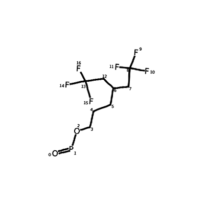 O=POCCCC(CC(F)(F)F)CC(F)(F)F